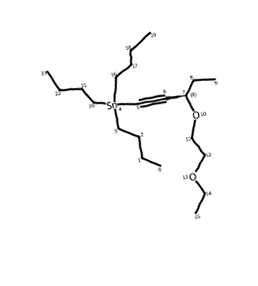 CCC[CH2][Sn]([C]#C[C@@H](CC)OCCOCC)([CH2]CCC)[CH2]CCC